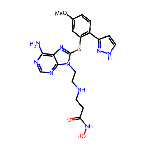 COc1ccc(-c2cc[nH]n2)c(Sc2nc3c(N)ncnc3n2CCNCCC(=O)NO)c1